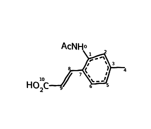 CC(=O)Nc1cc(C)ccc1C=CC(=O)O